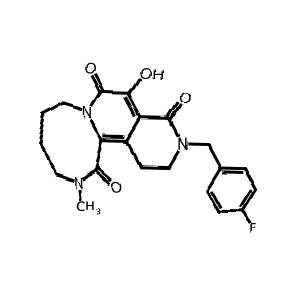 CN1CCCCn2c(c3c(c(O)c2=O)C(=O)N(Cc2ccc(F)cc2)CC3)C1=O